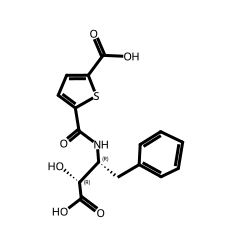 O=C(O)c1ccc(C(=O)N[C@H](Cc2ccccc2)[C@@H](O)C(=O)O)s1